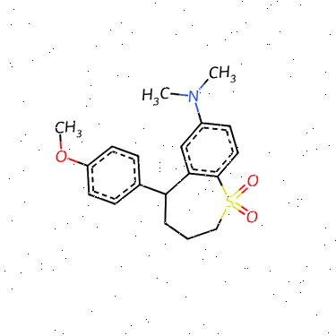 COc1ccc(C2CCCS(=O)(=O)c3ccc(N(C)C)cc32)cc1